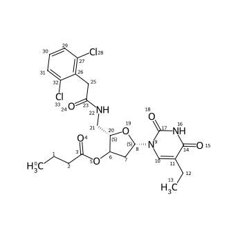 CCCC(=O)OC1C[C@@H](n2cc(CC)c(=O)[nH]c2=O)O[C@H]1CNC(=O)Cc1c(Cl)cccc1Cl